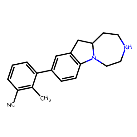 Cc1c(C#N)cccc1-c1ccc2c(c1)CC1CCNCCN21